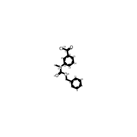 CN(C(=O)OCc1ccccc1)c1cccc(C(=O)Cl)c1